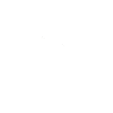 COC(=O)C1=NC=CNC=C1